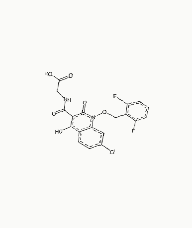 O=C(O)CNC(=O)c1c(O)c2ccc(Cl)cc2n(OCc2c(F)cccc2F)c1=O